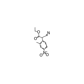 CCOC(=O)C(C#N)c1ccc([N+](=O)[O-])cc1C